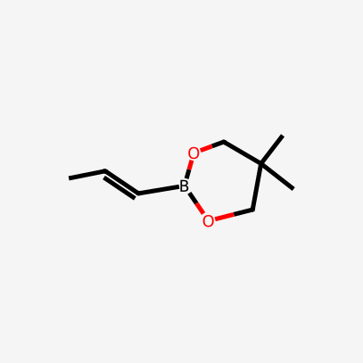 CC=CB1OCC(C)(C)CO1